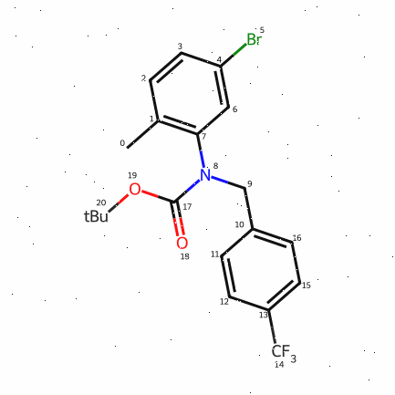 Cc1ccc(Br)cc1N(Cc1ccc(C(F)(F)F)cc1)C(=O)OC(C)(C)C